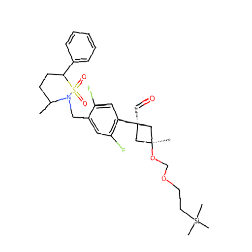 CC1CCC(c2ccccc2)S(=O)(=O)N1Cc1cc(F)c([C@]2(C=O)C[C@](C)(OCOCC[Si](C)(C)C)C2)cc1F